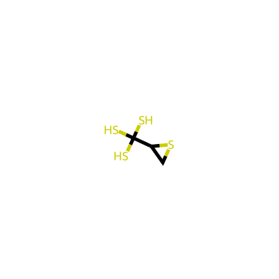 SC(S)(S)C1CS1